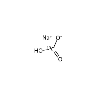 O=[13C]([O-])O.[Na+]